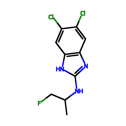 CC(CF)Nc1nc2cc(Cl)c(Cl)cc2[nH]1